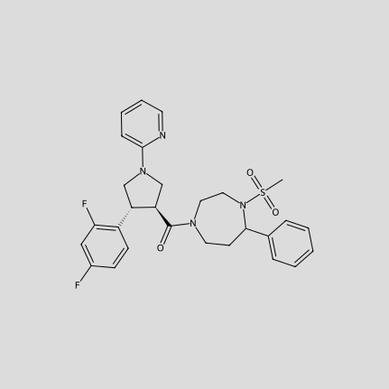 CS(=O)(=O)N1CCN(C(=O)[C@@H]2CN(c3ccccn3)C[C@H]2c2ccc(F)cc2F)CCC1c1ccccc1